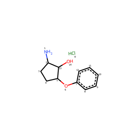 Cl.NC1CCC(Oc2ccccc2)C1O